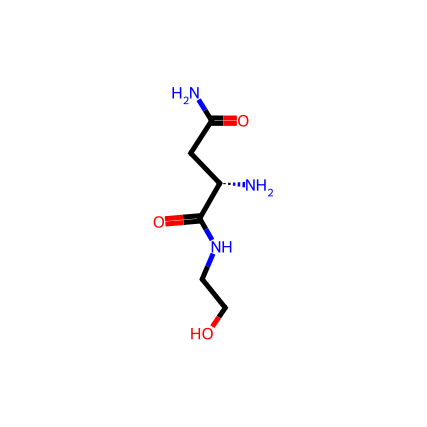 NC(=O)C[C@H](N)C(=O)NCCO